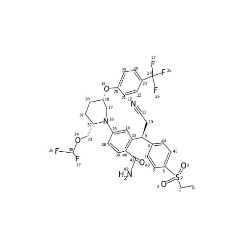 CCS(=O)(=O)c1ccc([C@H](CC#N)c2cc(N3C[C@@H](Oc4ccc(C(F)(F)F)cc4)CC[C@H]3COC(F)F)ccc2C(N)=O)cc1